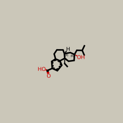 CC[C@]12CC[C@@](O)(CC(C)C)C[C@H]1CCCc1cc(C(=O)O)ccc12